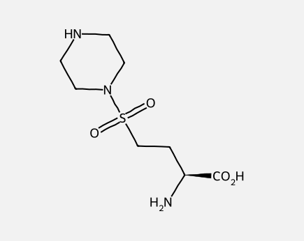 N[C@@H](CCS(=O)(=O)N1CCNCC1)C(=O)O